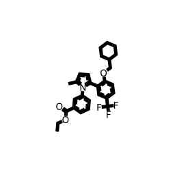 CCOC(=O)c1cccc(-n2c(C)ccc2-c2cc(C(F)(F)F)ccc2OCC2CCCCC2)c1